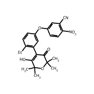 CCc1ccc(Oc2ccc([N+](=O)[O-])c(C#N)c2)cc1C1=C(O)C(C)(C)OC(C)(C)C1=O